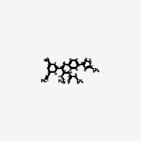 C#Cc1cc(O)cc(C(=N/c2ccc(-c3noc(C)n3)cc2)/C(=N/C(=O)OC)SC)c1